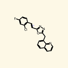 Fc1ccc(/C=C/c2nnc(Cc3cccc4cccnc34)o2)c(Cl)c1